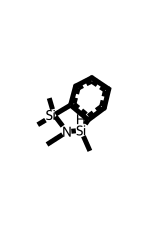 CN1[SiH](C)c2ccccc2[Si]1(C)C